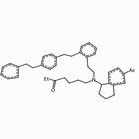 CCC(=O)CCCCN(CCc1ccccc1CCc1ccc(CCc2ccccc2)cc1)C1CCCc2cc(C(C)=O)ccc21